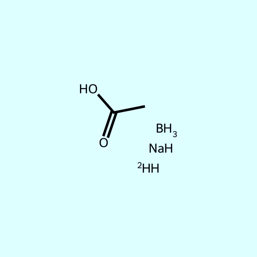 B.CC(=O)O.[2HH].[NaH]